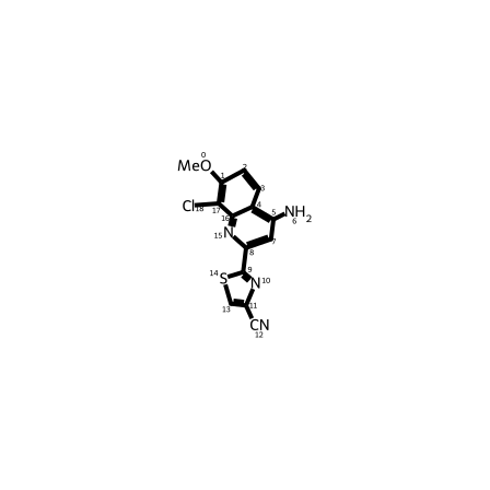 COc1ccc2c(N)cc(-c3nc(C#N)cs3)nc2c1Cl